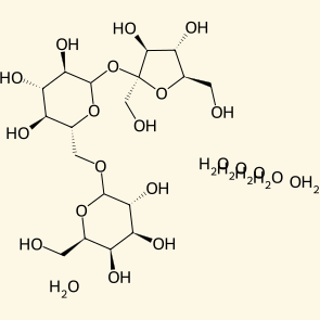 O.O.O.O.O.O.OC[C@H]1OC(OC[C@H]2OC(O[C@]3(CO)O[C@H](CO)[C@@H](O)[C@@H]3O)[C@H](O)[C@@H](O)[C@@H]2O)[C@H](O)[C@@H](O)[C@H]1O